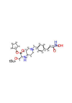 CC(C)(C)OC[C@H](NC1CCN(Cc2ccc(/C=C/C(=O)NO)cc2)CC1)C(=O)OC1CCCC1